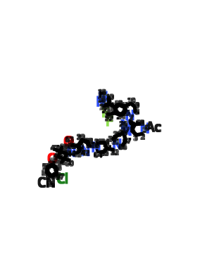 CC(=O)N1CCc2c(c(N3CCCc4cc(-c5cnn(C)c5)c(C(F)F)cc43)nn2C2CCN(CC3CCN(c4ccc5c(n4)CN(C4C(C)(C)C(Oc6ccc(C#N)c(Cl)c6)C4(C)C)C5=O)CC3)CC2)C1